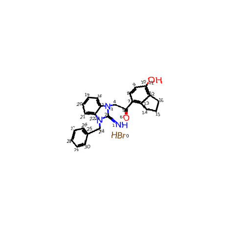 Br.N=c1n(CC(=O)c2ccc(O)c3c2CCC3)c2ccccc2n1Cc1ccccc1